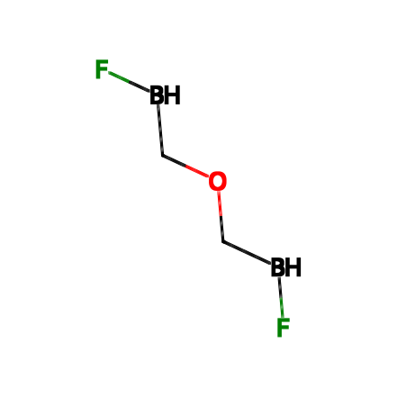 FBCOCBF